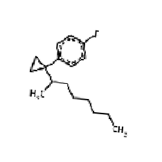 CCCCCCC(C)C1(c2ccc(F)cc2)CC1